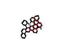 CC1CC=C(c2ccccc2)c2c(-c3ccccc3N(c3ccccc3-c3cccc4c3ccc3ccccc34)c3ccccc3-c3cccc4cccc(-c5ccccc5)c34)cccc21